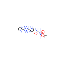 CC(C)(C)OC(=O)NCC(=O)Nc1ccc(C2=NNC(c3ccccn3)=NN2)nc1